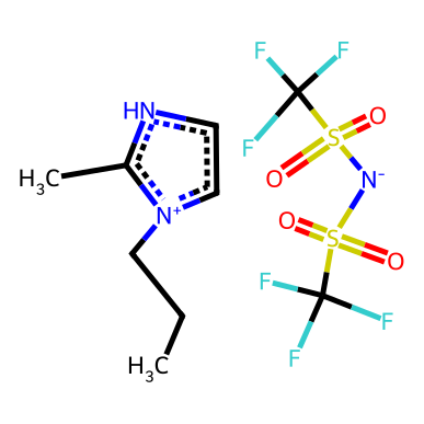 CCC[n+]1cc[nH]c1C.O=S(=O)([N-]S(=O)(=O)C(F)(F)F)C(F)(F)F